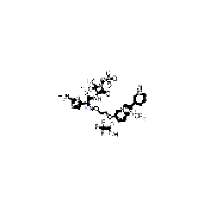 C[n+]1c(C2CCCNC2)cn2cc(OCCO/N=C(\C(=O)NC3C(=O)N(OS(=O)(=O)[O-])C3(C)C)c3csc(N)n3)ccc21.O=C(O)C(F)(F)F